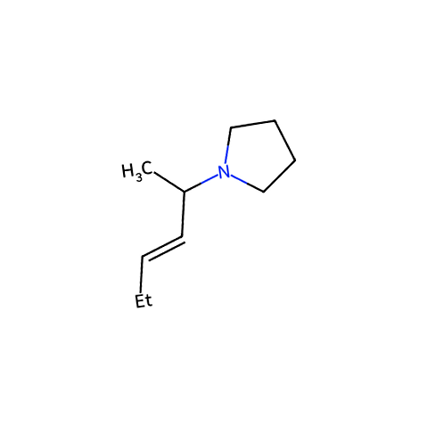 CCC=CC(C)N1CCCC1